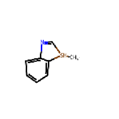 [CH2][SH]1C=Nc2ccccc21